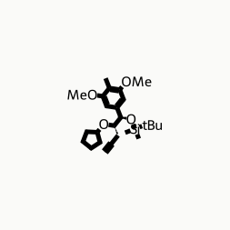 C#CC[C@H](OC1CCCC1)[C@H](O[Si](C)(C)C(C)(C)C)c1cc(OC)c(C)c(OC)c1